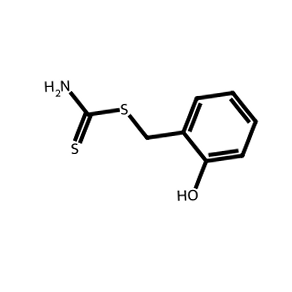 NC(=S)SCc1ccccc1O